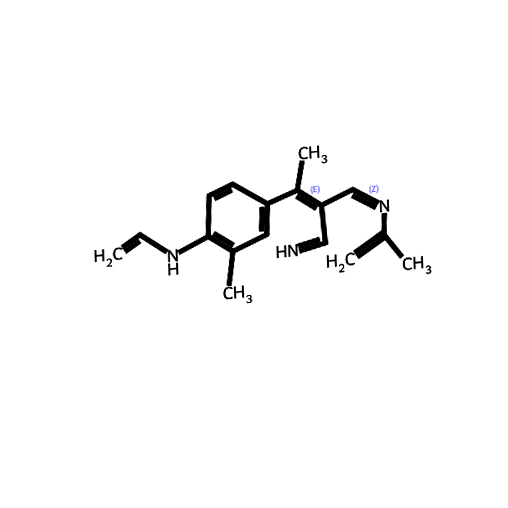 C=CNc1ccc(/C(C)=C(C=N)/C=N\C(=C)C)cc1C